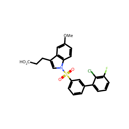 COc1ccc2c(c1)c(CCC(=O)O)cn2S(=O)(=O)c1cccc(-c2cccc(F)c2Cl)c1